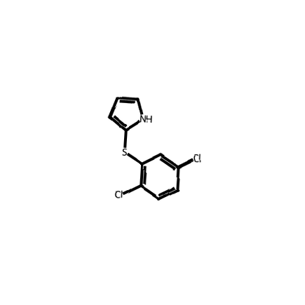 Clc1ccc(Cl)c(Sc2ccc[nH]2)c1